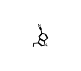 CCc1cn(C)c2ccc(C#N)cc12